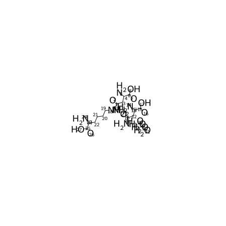 NC(=O)CC(N)C(=O)O.NC(=O)C[C@H](N)C(=O)O.NCCCC[C@H](N)C(=O)O.O.O.O.O